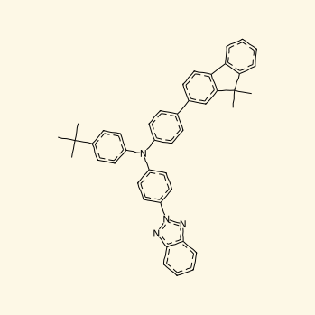 CC(C)(C)c1ccc(N(c2ccc(-c3ccc4c(c3)C(C)(C)c3ccccc3-4)cc2)c2ccc(-n3nc4ccccc4n3)cc2)cc1